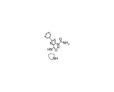 NC(=O)Nc1sc(-c2ccccc2)nc1C(=O)N[C@H]1CCCNC1